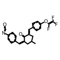 CC1CC(=Cc2ccc(N=C=O)cc2)C(=O)C(=Cc2ccc(OC(F)=C(F)F)cc2)C1